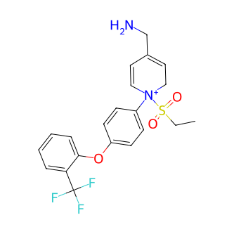 CCS(=O)(=O)[N+]1(c2ccc(Oc3ccccc3C(F)(F)F)cc2)C=CC(CN)=CC1